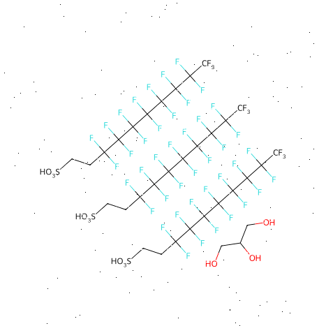 O=S(=O)(O)CCC(F)(F)C(F)(F)C(F)(F)C(F)(F)C(F)(F)C(F)(F)C(F)(F)C(F)(F)F.O=S(=O)(O)CCC(F)(F)C(F)(F)C(F)(F)C(F)(F)C(F)(F)C(F)(F)C(F)(F)C(F)(F)F.O=S(=O)(O)CCC(F)(F)C(F)(F)C(F)(F)C(F)(F)C(F)(F)C(F)(F)C(F)(F)C(F)(F)F.OCC(O)CO